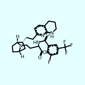 O=C(NC(CCN1[C@H]2CC[C@@H]1[C@H](CCc1ccc3c(n1)NCCC3)C2)C(=O)O)c1cc(F)cc(C(F)(F)F)c1